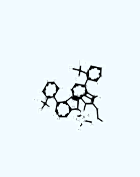 CCCC1=Cc2c(-c3ccccc3C(F)(F)F)cccc2[CH]1[Zr]([Cl])([Cl])([CH]1C(CCC)=Cc2c(-c3ccccc3C(F)(F)F)cccc21)[SiH](C)C